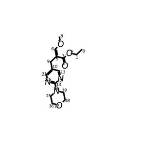 CCOC(=O)C(=COC)Cc1cnc(N2CCOCC2)nc1